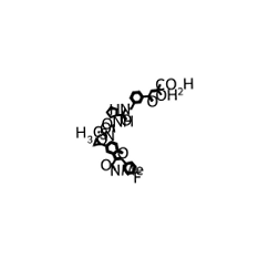 CNC(=O)c1c(-c2ccc(F)cc2)oc2cc(N(CC(=O)NC3(C(=O)NCc4cccc(C(=O)C=C(O)C(=O)O)c4)CCCC3)S(C)(=O)=O)c(C3CC3)cc12